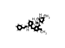 C=Cc1ccc(CC2CCCCC2NCCC2CCCCC2)cc1CN(C)C1CCC(=C)NC1=C